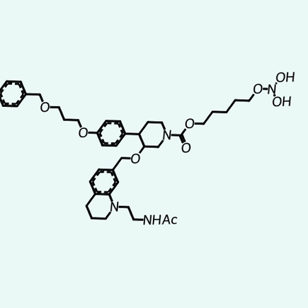 CC(=O)NCCN1CCCc2ccc(COC3CN(C(=O)OCCCCCON(O)O)CCC3c3ccc(OCCCOCc4ccccc4)cc3)cc21